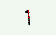 CSOCCOCCOCCOCCOCCCCN(C)C(=O)c1ccccc1C=O